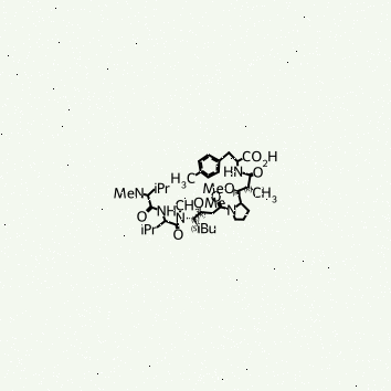 CC[C@H](C)[C@@H]([C@@H](CC(=O)N1CCCC1[C@H](OC)[C@@H](C)C(=O)NC(Cc1ccc(C)cc1)C(=O)O)OC)N(C)C(=O)C(NC(=O)C(NC)C(C)C)C(C)C